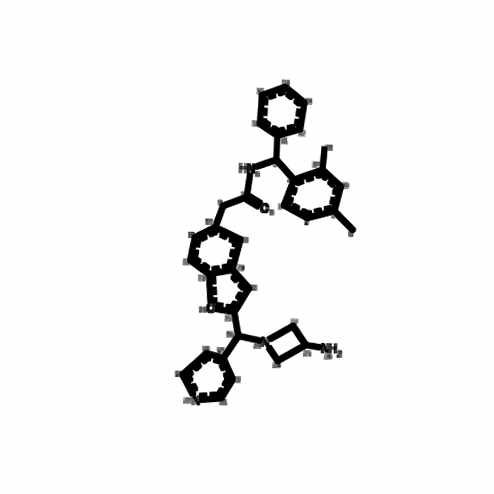 Cc1ccc(C(NC(=O)Cc2ccc3oc(C(c4ccncc4)N4CC(N)C4)cc3c2)c2ccccc2)c(C)c1